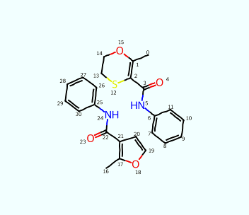 CC1=C(C(=O)Nc2ccccc2)SCCO1.Cc1occc1C(=O)Nc1ccccc1